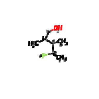 CC(CO)C(C)[C@@H](C)F